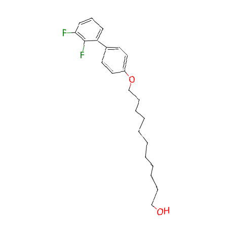 OCCCCCCCCCCCOc1ccc(-c2cccc(F)c2F)cc1